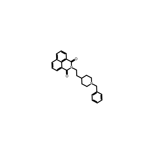 O=C1c2cccc3cccc(c23)C(=O)N1CCC1CCN(Cc2ccccc2)CC1